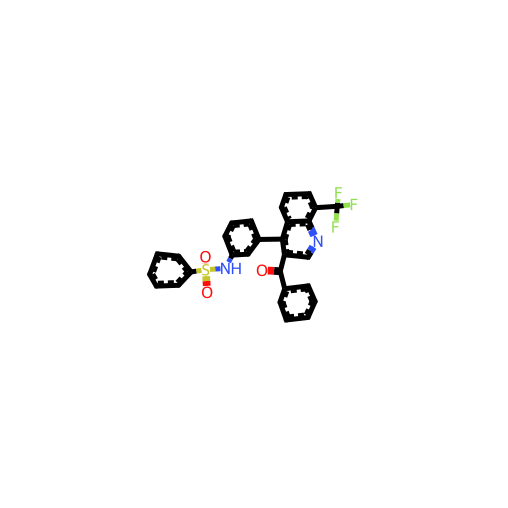 O=C(c1ccccc1)c1cnc2c(C(F)(F)F)cccc2c1-c1cccc(NS(=O)(=O)c2ccccc2)c1